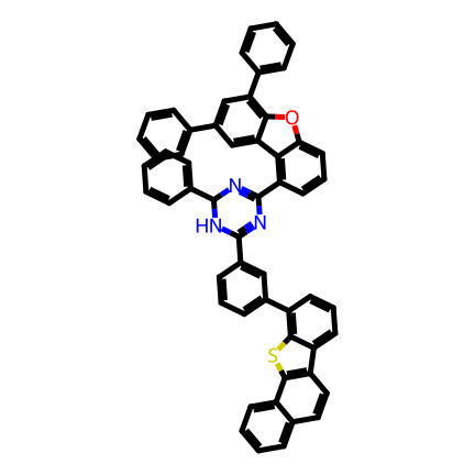 c1ccc(-c2cc(-c3ccccc3)c3oc4cccc(C5=NC(c6ccccc6)NC(c6cccc(-c7cccc8c7sc7c9ccccc9ccc87)c6)=N5)c4c3c2)cc1